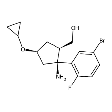 N[C@@]1(c2cc(Br)ccc2F)C[C@@H](OC2CC2)C[C@H]1CO